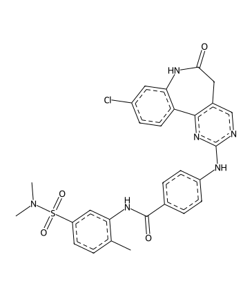 Cc1ccc(S(=O)(=O)N(C)C)cc1NC(=O)c1ccc(Nc2ncc3c(n2)-c2ccc(Cl)cc2NC(=O)C3)cc1